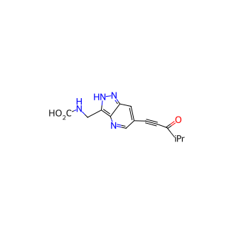 CC(C)C(=O)C#Cc1cnc2c(CNC(=O)O)[nH]nc2c1